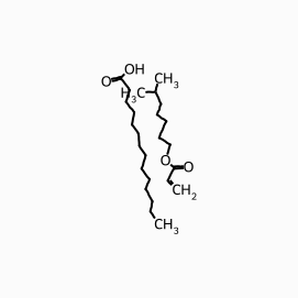 C=CC(=O)OCCCCCC(C)C.CCCCCCCCCCCCCC(=O)O